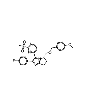 COc1ccc(COC[C@@H]2CCc3nc(-c4ccc(F)cc4)c(-c4ccnc(S(C)(=O)=O)n4)n32)cc1